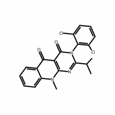 CC(C)c1nc2c(c(=O)c3ccccc3n2C)c(=O)n1-c1c(Cl)cccc1Cl